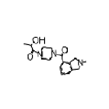 CC(O)C(=O)N1CCN(C(=O)c2cccc3c2CN(C)C3)CC1